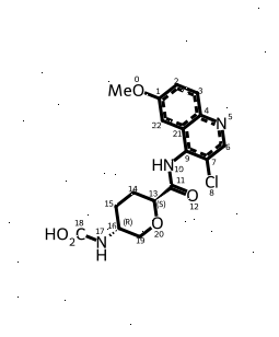 COc1ccc2ncc(Cl)c(NC(=O)[C@@H]3CC[C@@H](NC(=O)O)CO3)c2c1